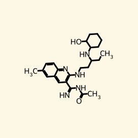 CCC(CCNc1nc2ccc(C)cc2cc1C(=N)NC(C)=O)NC1CCCCC1O